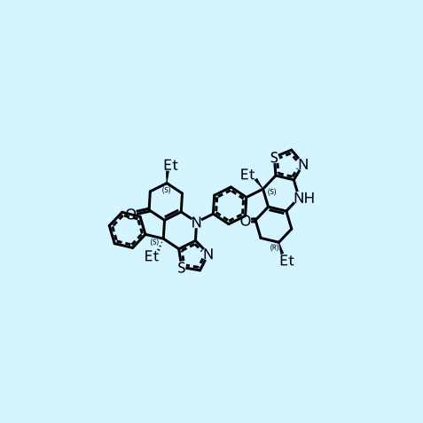 CC[C@@H]1CC(=O)C2=C(C1)N(c1ccc([C@@]3(CC)C4=C(C[C@@H](CC)CC4=O)Nc4ncsc43)cc1)c1ncsc1[C@@]2(CC)c1ccccc1